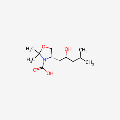 CC(C)C[C@@H](O)C[C@H]1COC(C)(C)N1C(=O)O